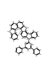 c1ccc(-c2nc(-c3ccccc3)nc(-n3c4ccccc4c4c5sc6ccc7ccc8sc9ccccc9c8c7c6c5ccc43)n2)cc1